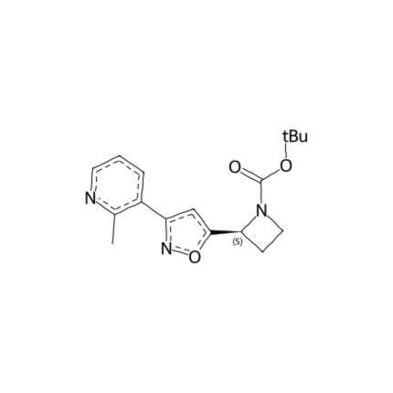 Cc1ncccc1-c1cc([C@@H]2CCN2C(=O)OC(C)(C)C)on1